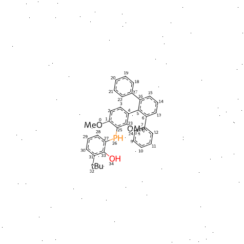 COc1ccc(-c2c(-c3ccccc3)cccc2-c2ccccc2)c(OC)c1Pc1cccc(C(C)(C)C)c1O